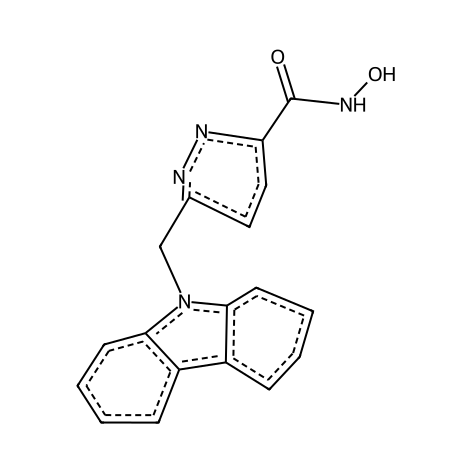 O=C(NO)c1ccc(Cn2c3ccccc3c3ccccc32)nn1